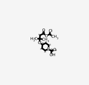 CC(Cl)OC(=O)CC(C)(C)OC1CCN(C(=O)O)CC1